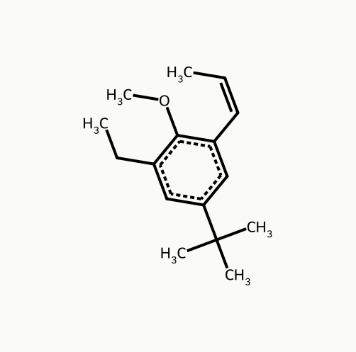 C/C=C\c1cc(C(C)(C)C)cc(CC)c1OC